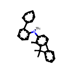 Cc1c(N(c2ccccc2-c2ccccc2)C(C)(C)C)ccc2c1C(C)(C)c1ccccc1-2